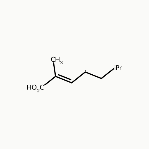 CC(=C[CH]CC(C)C)C(=O)O